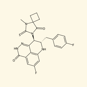 CN1C(=S)N([C@@H]2c3n[nH]c(=O)c4cc(F)cc(c34)N[C@H]2Cc2ccc(F)cc2)C(=O)C12CCC2